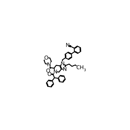 CCCCc1nc2c(n1Cc1ccc(-c3ccccc3C#N)cc1)CC(C(=O)N1CCOCC1)N(C(=O)C(c1ccccc1)c1ccccc1)C2